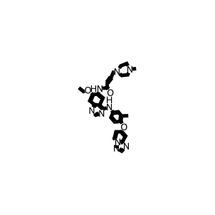 CCOc1cc2ncnc(Nc3ccc(Oc4ccn5ncnc5c4)c(C)c3)c2cc1NC(=O)C#CCN1CCN(C)CC1